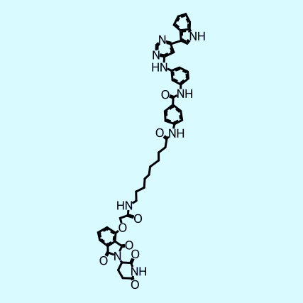 O=C(COc1cccc2c1C(=O)N(C1CCC(=O)NC1=O)C2=O)NCCCCCCCCCC(=O)Nc1ccc(C(=O)Nc2cccc(Nc3cc(-c4c[nH]c5ccccc45)ncn3)c2)cc1